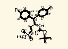 CC(C)(C)OC(=O)N[C@@H](CCS(=O)(=O)O)C(c1ccc(F)cc1)c1ccc(F)cc1